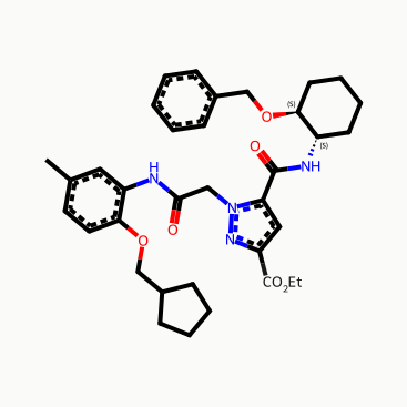 CCOC(=O)c1cc(C(=O)N[C@H]2CCCC[C@@H]2OCc2ccccc2)n(CC(=O)Nc2cc(C)ccc2OCC2CCCC2)n1